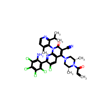 C=CC(=O)N1[C@H](C)CN(c2c(C#N)c(=O)n(-c3c(C)ccnc3C(C)C)c3nc(-c4c(N)c(Cl)c(Cl)c(Cl)c4Cl)c(Cl)cc23)C[C@@H]1C